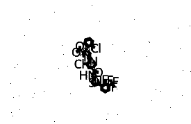 O=C(Nc1nc(-c2cccc(C(F)(F)F)c2F)cs1)c1cnc(N2C[C@@H](C(=O)O)[C@H](c3ccccc3Cl)C2)c(Cl)c1